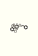 Cc1c(OCCc2ccccc2)cnn(-c2c(Cl)cccc2Cl)c1=O